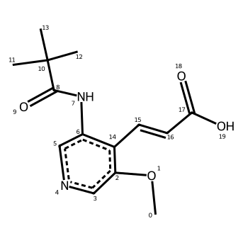 COc1cncc(NC(=O)C(C)(C)C)c1C=CC(=O)O